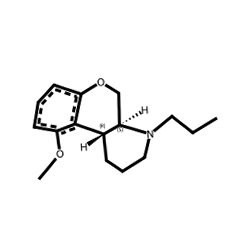 CCCN1CCC[C@@H]2c3c(OC)cccc3OC[C@H]21